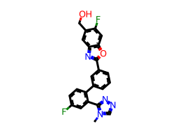 Cn1cnnc1-c1cc(F)ccc1-c1cccc(-c2nc3cc(CO)c(F)cc3o2)c1